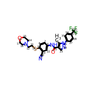 Cc1c(C(=O)Nc2ccc(SCCN3CCOCC3)c(C#N)c2)cnn1-c1ccc(C(F)(F)F)cc1